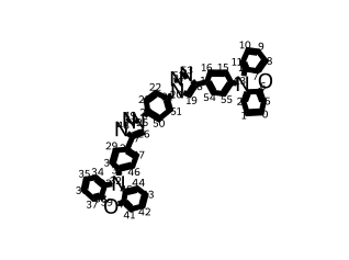 c1ccc2c(c1)Oc1ccccc1N2c1ccc(-c2cn(-c3ccc(-n4cc(-c5ccc(N6c7ccccc7Oc7ccccc76)cc5)nn4)cc3)nn2)cc1